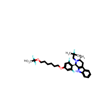 C[C@@H]1Cc2c([nH]c3ccccc23)[C@@H](c2c(F)cc(OCCCCCCOC(F)(F)C(=O)O)cc2F)N1CC(C)(C)F